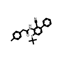 Cc1ccc(CC(=O)Nc2c(SC(C)(C)C)ccc(-c3ccccc3)c2C#N)cc1